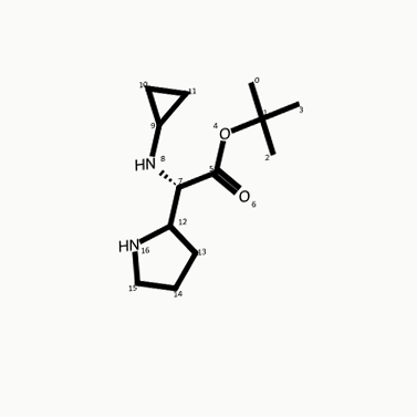 CC(C)(C)OC(=O)[C@@H](NC1CC1)C1CCCN1